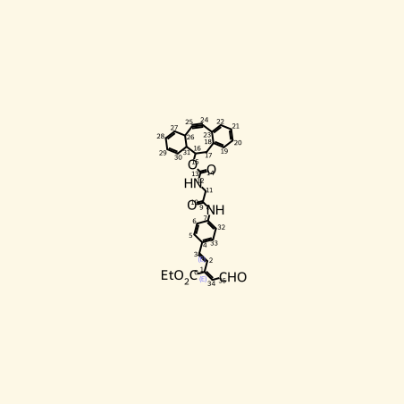 CCOC(=O)C(/C=C/c1ccc(NC(=O)CNC(=O)OC2Cc3ccccc3C#CC3C=CC=CC32)cc1)=C/C=O